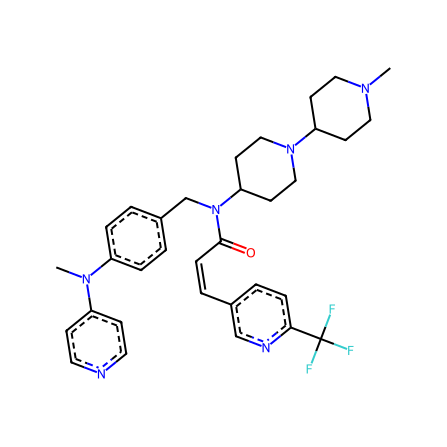 CN1CCC(N2CCC(N(Cc3ccc(N(C)c4ccncc4)cc3)C(=O)C=Cc3ccc(C(F)(F)F)nc3)CC2)CC1